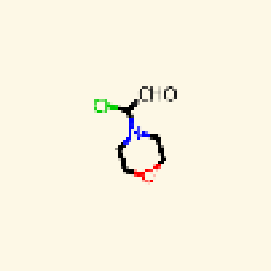 O=CC(Cl)N1CCOCC1